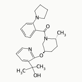 C[C@@H]1CC[C@@H](Oc2ncccc2C(C)(C)O)CN1C(=O)c1ccccc1N1CCCC1